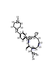 C=C1/C=C(/c2ccc(CN3CCN(C)CC3)cc2)NC(=O)C/C=C\C=C/1CN(C)C